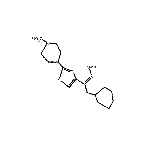 CON=C(CC1CCCCC1)c1csc(C2CCN(C(=O)O)CC2)n1